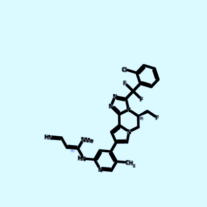 CN/C(=C\C=N)Nc1cc(-c2cc3n(c2)C[C@H](CF)n2c-3nnc2C(F)(F)c2ccccc2Cl)c(C)cn1